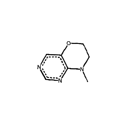 CN1CCOc2cncnc21